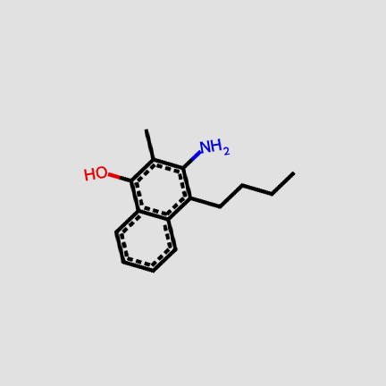 CCCCc1c(N)c(C)c(O)c2ccccc12